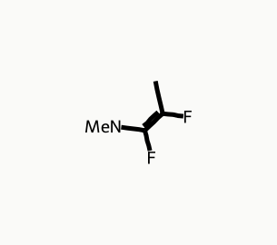 CN/C(F)=C(\C)F